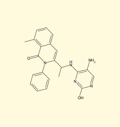 Cc1cccc2cc(C(C)Nc3nc(O)ncc3N)n(-c3ccccc3)c(=O)c12